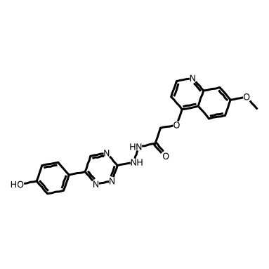 COc1ccc2c(OCC(=O)NNc3ncc(-c4ccc(O)cc4)nn3)ccnc2c1